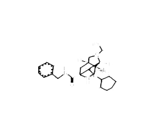 CC(C)CN1C[C@H]2C[C@]3(C(=O)NCc4ccccc4)NC[C@H]2[C@H]1[C@H]3CC1CCCCC1